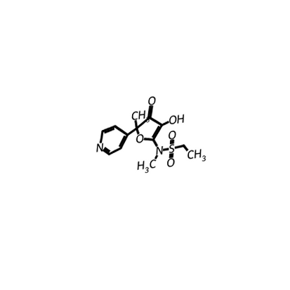 CCS(=O)(=O)N(C)C1=C(O)C(=O)C(C)(c2ccncc2)O1